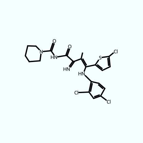 C/C(C(=N)C(=O)NC(=O)N1CCCCC1)=C(/Nc1ccc(Cl)cc1Cl)c1ccc(Cl)s1